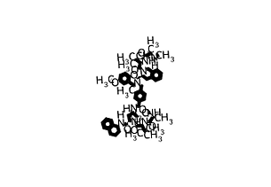 CN[C@@H](C)C(=O)N[C@H](C(=O)N1C[C@@H](NC(=O)c2ccc(CN(C(=O)[C@@H]3Cc4ccccc4CN3C(=O)[C@@H](NC(=O)[C@H](C)NC)C(C)(C)C)[C@H](C)c3cccc(OC)c3)cc2)C[C@H]1C(=O)N[C@@H]1CCCc2ccccc21)C(C)(C)C